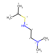 CC(C)SNCCN(C)C